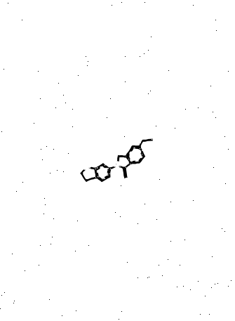 C=C1c2ccc(CC)cc2CN1c1ccc2c(c1)SCC2